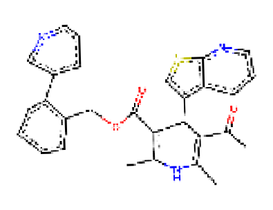 CC(=O)C1=C(C)NC(C)=C(C(=O)OCc2ccccc2-c2cccnc2)C1c1csc2ncccc12